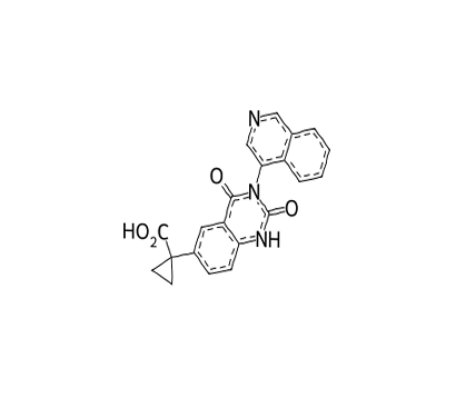 O=C(O)C1(c2ccc3[nH]c(=O)n(-c4cncc5ccccc45)c(=O)c3c2)CC1